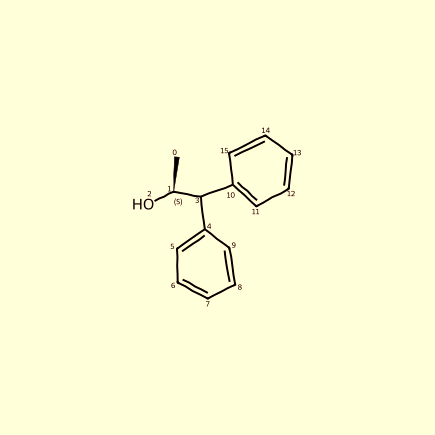 C[C@H](O)C(c1ccccc1)c1ccccc1